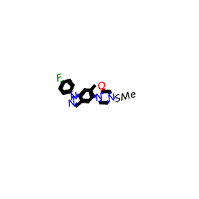 CSN1CCN(c2cc3cnn(-c4ccc(F)cc4)c3cc2C)C(=O)C1